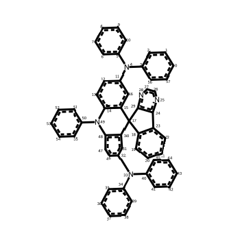 c1ccc(N(c2ccccc2)c2ccc3c(c2)C2(c4ccccc4-c4nccnc42)c2cc(N(c4ccccc4)c4ccccc4)ccc2N3c2ccccc2)cc1